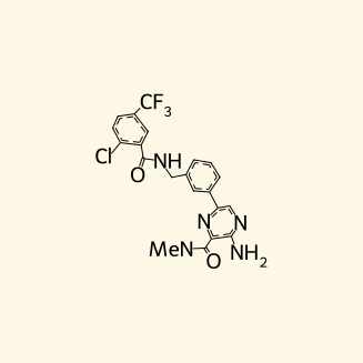 CNC(=O)c1nc(-c2cccc(CNC(=O)c3cc(C(F)(F)F)ccc3Cl)c2)cnc1N